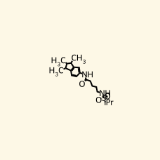 CC1c2ccc(NC(=O)CCCCNS(=O)(=O)C(C)C)cc2C(C)C1C